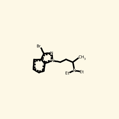 CCN(CC)C(C)CCn1nc(Br)c2ccccc21